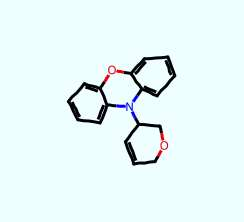 C1=CC(N2c3ccccc3Oc3ccccc32)COC1